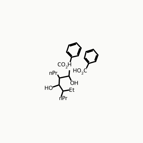 CCCC(CC)C(O)C(CCC)C(C)O.O=C(O)c1ccccc1.O=C(O)c1ccccc1